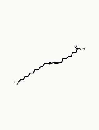 CCCCCCCCCCCCC#CC#CCCCCCCCC(=O)O